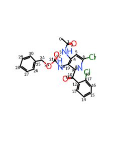 CC(=O)Nc1cc(Cl)nc(C(=O)c2ccccc2Cl)c1NC(=O)OCc1ccccc1